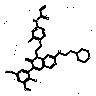 C=CC(=O)Nc1ccc(CCn2c(=O)c(-c3cc(OC)cc(OC)c3Cl)cc3cnc(NCCN4CCOCC4)nc32)c(F)c1